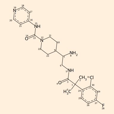 CC(C)(C(=O)NCC(N)C1CCN(C(=O)Nc2ccncc2)CC1)c1ccc(F)cc1Cl